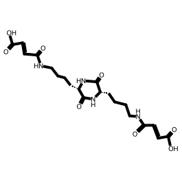 O=C(O)C=CC(=O)NCCCC[C@@H]1NC(=O)[C@H](CCCCNC(=O)/C=C/C(=O)O)NC1=O